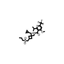 CCCS(=O)(=O)CC1CC(CNC(=O)c2c(OC)cc(C(F)(F)F)nc2C(C)C)(CC2CC2)C1